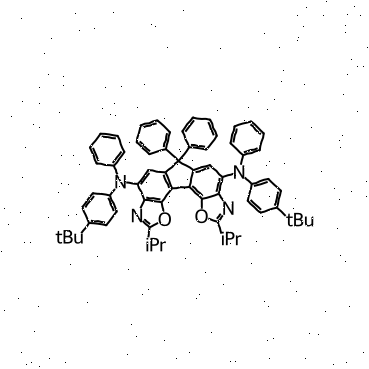 CC(C)c1nc2c(N(c3ccccc3)c3ccc(C(C)(C)C)cc3)cc3c(c2o1)-c1c(cc(N(c2ccccc2)c2ccc(C(C)(C)C)cc2)c2nc(C(C)C)oc12)C3(c1ccccc1)c1ccccc1